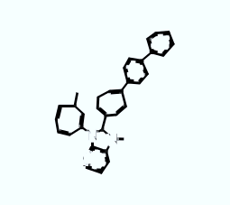 CC1C=CC=CC(N2c3ccccc3N(C)C2C2=CCC=C(c3ccc(-c4ccccc4)cc3)C=C2)=C1